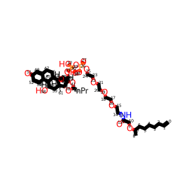 C=CCCCCCC(C)OCC(=O)NCCOCCOCCOCCOP(=O)(O)OP(=O)(O)OCC(=O)[C@@]12OC(CCC)O[C@@H]1C[C@H]1[C@@H]3CCC4=CC(=O)C=C[C@]4(C)[C@H]3[C@@H](O)C[C@@]12C